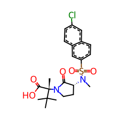 CN([C@@H]1CCN([C@@](C)(C(=O)O)C(C)(C)C)C1=O)S(=O)(=O)c1ccc2cc(Cl)ccc2c1